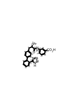 CCCC(Cc1ccc(-c2ccccc2-c2nnn[nH]2)cc1)C(=O)Nc1cccc(C(=O)O)c1